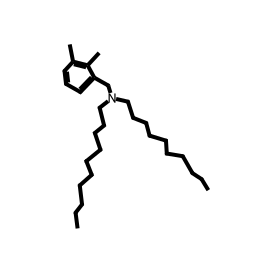 CCCCCCCCCCN(CCCCCCCCCC)Cc1cccc(C)c1C